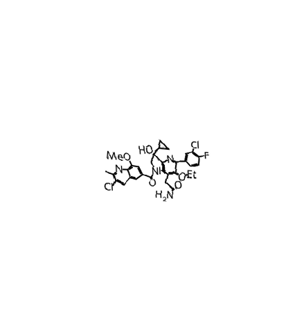 CCOc1c(CC(N)=O)cc([C@@](O)(CNC(=O)c2cc(OC)c3nc(C)c(Cl)cc3c2)C2CC2)nc1-c1ccc(F)c(Cl)c1